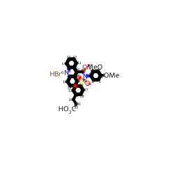 Br.COc1ccc(N(C(=O)c2c3ccccc3nc3ccccc23)S(=O)(=O)c2ccc(CCC(=O)O)cc2)c(OC)c1